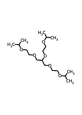 CC(C)OCCOCC(COCCOC(C)C)OCCOC(C)C